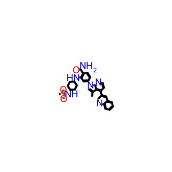 Cc1cn(-c2ccc(C(N)=O)c(N[C@H]3CC[C@H](NS(C)(=O)=O)CC3)c2)c2nccc(-c3cnc4ccccc4c3)c12